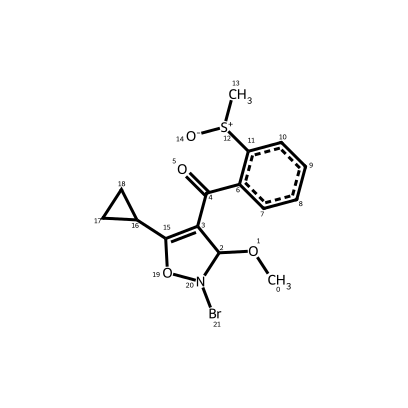 COC1C(C(=O)c2ccccc2[S+](C)[O-])=C(C2CC2)ON1Br